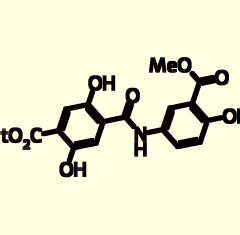 CCOC(=O)c1cc(O)c(C(=O)Nc2ccc(O)c(C(=O)OC)c2)cc1O